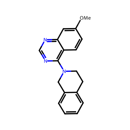 COc1ccc2c(N3CCc4ccccc4C3)ncnc2c1